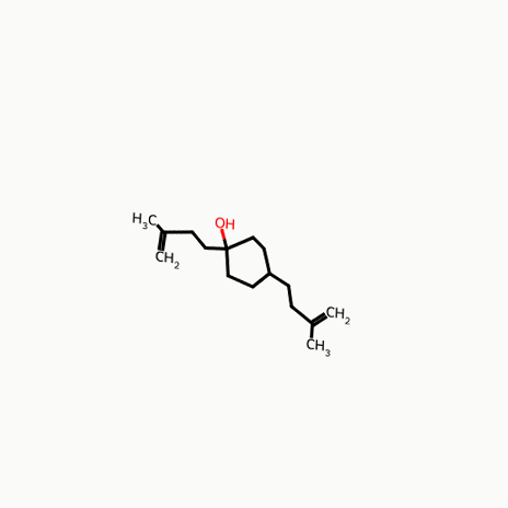 C=C(C)CCC1CCC(O)(CCC(=C)C)CC1